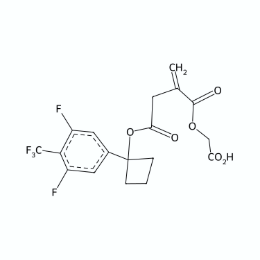 C=C(CC(=O)OC1(c2cc(F)c(C(F)(F)F)c(F)c2)CCC1)C(=O)OCC(=O)O